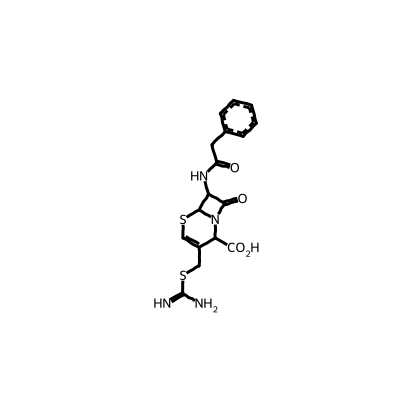 N=C(N)SCC1=CSC2C(NC(=O)Cc3ccccc3)C(=O)N2C1C(=O)O